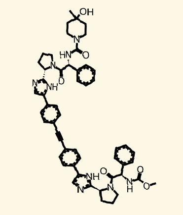 COC(=O)N[C@@H](C(=O)N1CCC[C@H]1c1ncc(-c2ccc(C#Cc3ccc(-c4cnc([C@@H]5CCCN5C(=O)[C@H](NC(=O)N5CCC(C)(O)CC5)c5ccccc5)[nH]4)cc3)cc2)[nH]1)c1ccccc1